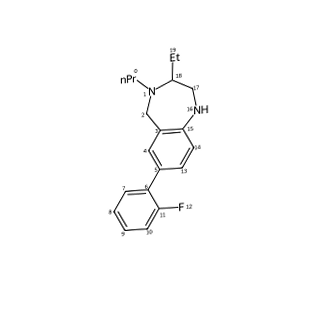 CCCN1Cc2cc(-c3ccccc3F)ccc2NCC1CC